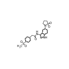 CS(=O)(=O)c1ccc(CC(=O)Nc2n[nH]c3ccc(N4CCCS4(=O)=O)cc23)cc1